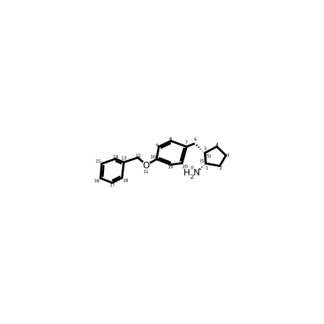 N[C@H]1CCC[C@H]1Cc1ccc(OCc2ccccc2)cc1